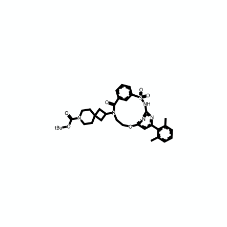 Cc1cccc(C)c1-c1cc2nc(n1)NS(=O)(=O)c1cccc(c1)C(=O)N(C1CC3(CCN(C(=O)OC(C)(C)C)CC3)C1)CCO2